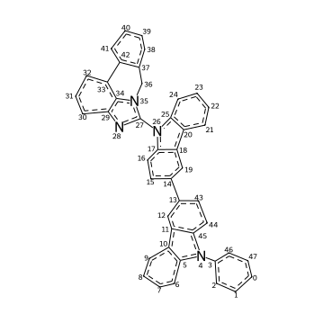 c1ccc(-n2c3ccccc3c3cc(-c4ccc5c(c4)c4ccccc4n5-c4nc5cccc6c5n4Cc4ccccc4-6)ccc32)cc1